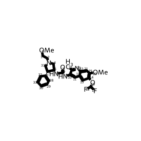 COCCN1C[C@@H](NC(=O)Nc2cc3cc(OC(F)F)c(OC)cc3nc2C)[C@H](c2ccccc2)C1